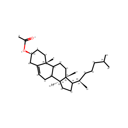 CC(=O)O[C@H]1CC[C@@]2(C)C(=CCC3C2CC[C@]2(C)C([C@H](C)CCCC(C)C)CC[C@@H]32)C1